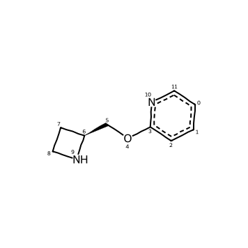 c1ccc(OC[C@@H]2CCN2)nc1